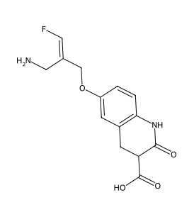 NC/C(=C\F)COc1ccc2c(c1)CC(C(=O)O)C(=O)N2